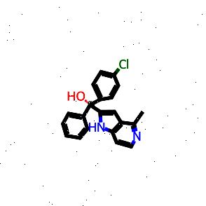 Cc1nccc2[nH]c([C@@](O)(c3ccccc3)c3ccc(Cl)cc3)cc12